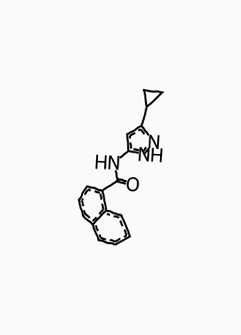 O=C(Nc1cc(C2CC2)n[nH]1)c1cccc2ccccc12